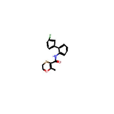 CC1=C(C(=O)Nc2ccccc2-c2cccc(F)c2)SCCO1